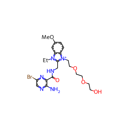 CCn1c(CNC(=O)c2nc(Br)cnc2N)[n+](CCOCCOCCO)c2ccc(OC)cc21